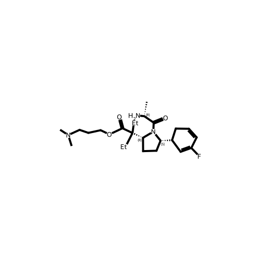 CCC(CC)(C(=O)OCCCN(C)C)[C@H]1CC[C@@H](C2C=C(F)C=CC2)N1C(=O)[C@@H](C)N